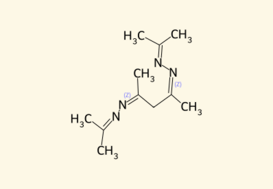 CC(C)=N/N=C(/C)C/C(C)=N\N=C(C)C